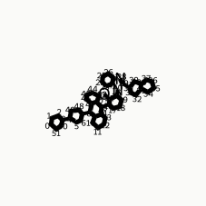 c1ccc(-c2ccc(-c3c4ccccc4c(-c4cccc5c4Oc4cccc6nc(-c7ccc8ccccc8c7)n-5c46)c4ccccc34)cc2)cc1